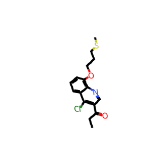 CCC(=O)c1cnc2c(OCCCSC)cccc2c1Cl